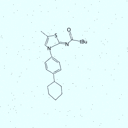 Cc1cn(-c2ccc(C3CCCCC3)cc2)c(=NC(=O)C(C)(C)C)s1